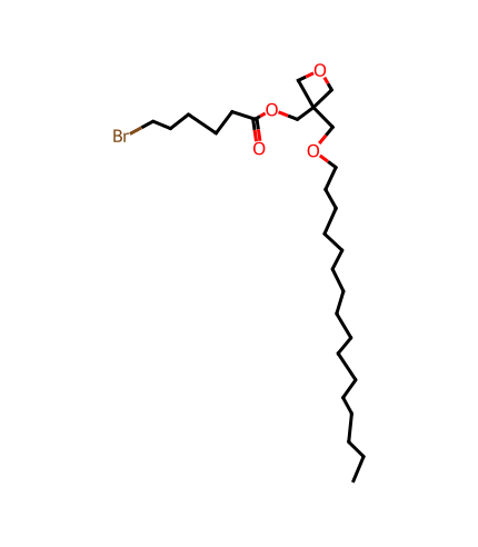 CCCCCCCCCCCCCCCCOCC1(COC(=O)CCCCCBr)COC1